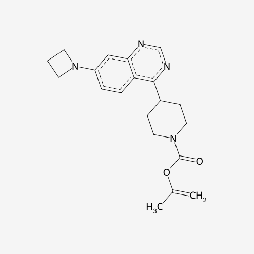 C=C(C)OC(=O)N1CCC(c2ncnc3cc(N4CCC4)ccc23)CC1